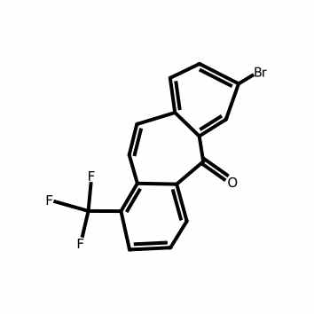 O=c1c2cc(Br)ccc2ccc2c(C(F)(F)F)cccc12